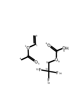 C=COC(C)=O.O=C(O)OCC(F)(F)F